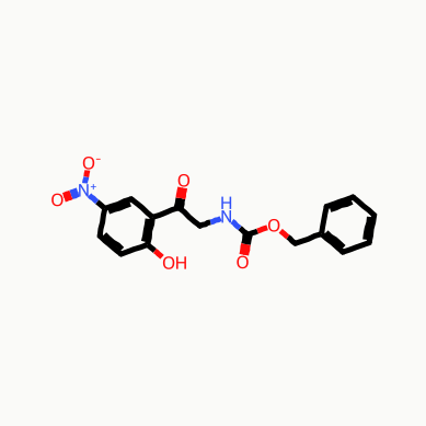 O=C(NCC(=O)c1cc([N+](=O)[O-])ccc1O)OCc1ccccc1